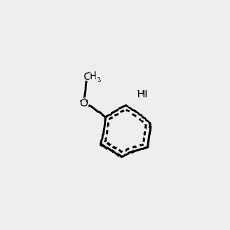 COc1ccccc1.I